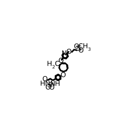 C=C1CC[C@@H](Oc2ccc(C3CC(=O)NS(=O)(=O)N3)cc2)C/C=C\C=C/1Oc1ccc(OCCCS(C)(=O)=O)nc1